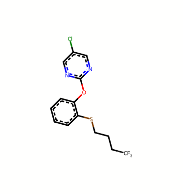 FC(F)(F)CCCSc1ccccc1Oc1ncc(Cl)cn1